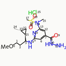 COCCC(Nc1cc(C(=O)NN)cc(N(C)S(C)(=O)=O)n1)[C@@H]1C[C@H]1C.Cl